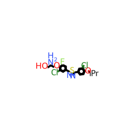 CC(C)Oc1ccc(-c2nnc(-c3cc(F)c(OC[C@H](N)CO)c(Cl)c3)s2)cc1Cl